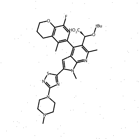 Cc1nc2c(cc(-c3nc(N4CCN(C)CC4)ns3)n2C)c(-c2cc(F)c3c(c2C)CCCO3)c1[C@H](OC(C)(C)C)C(=O)O